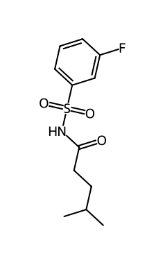 CC(C)CCC(=O)NS(=O)(=O)c1cccc(F)c1